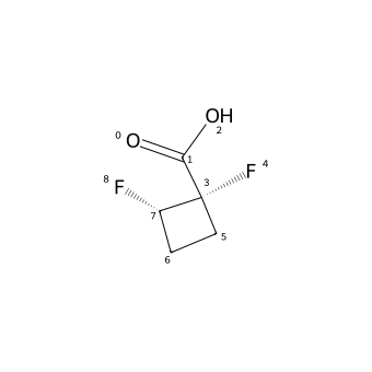 O=C(O)[C@@]1(F)CC[C@@H]1F